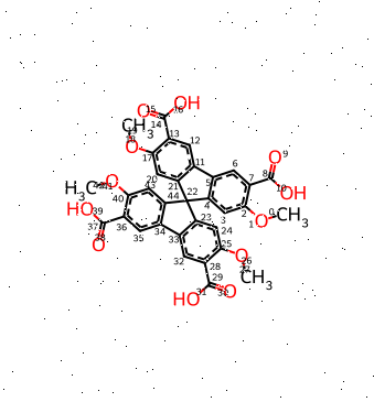 COc1cc2c(cc1C(=O)O)-c1cc(C(=O)O)c(OC)cc1C21c2cc(OC)c(C(=O)O)cc2-c2cc(C(=O)O)c(OC)cc21